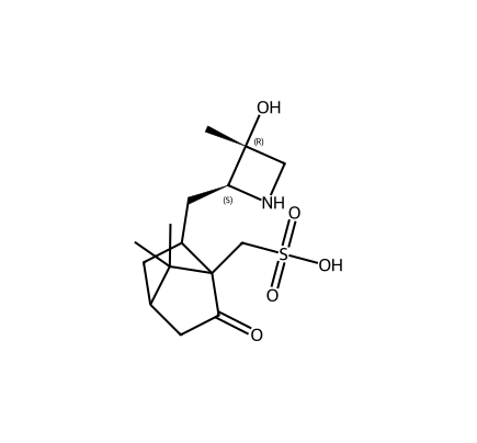 CC1(C)C2CC(=O)C1(CS(=O)(=O)O)C(C[C@@H]1NC[C@@]1(C)O)C2